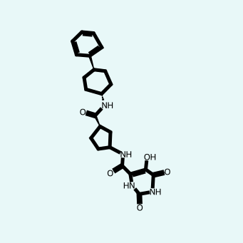 O=C(NC1CC[C@@H](C(=O)N[C@H]2CC[C@H](c3ccccc3)CC2)C1)c1[nH]c(=O)[nH]c(=O)c1O